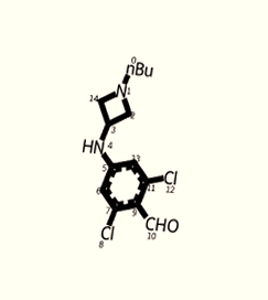 CCCCN1CC(Nc2cc(Cl)c(C=O)c(Cl)c2)C1